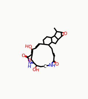 CC1C2OC2C2CC3C4C/C=C/C(=O)NCCC(O)C5NC(=O)/C(=C(O)/C=C/C4CCC3C12)C5=O